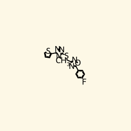 Cn1c(SCc2noc(-c3ccc(F)cc3)n2)nnc1-c1cccs1